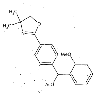 COc1ccccc1C(OC(C)=O)c1ccc(C2=NC(C)(C)CO2)cc1